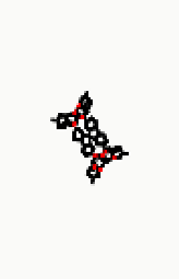 CC1=CCC(N(c2ccc(C)cc2)c2ccc3c(c2)C2(c4cc(N(c5ccc(C)cc5)c5ccc(C)cc5)ccc4-c4ccc(N(c5ccc(C)cc5)c5ccc(C)cc5)cc42)c2cc(N(c4ccc(C)cc4)c4ccc(C)cc4)ccc2-3)C=C1